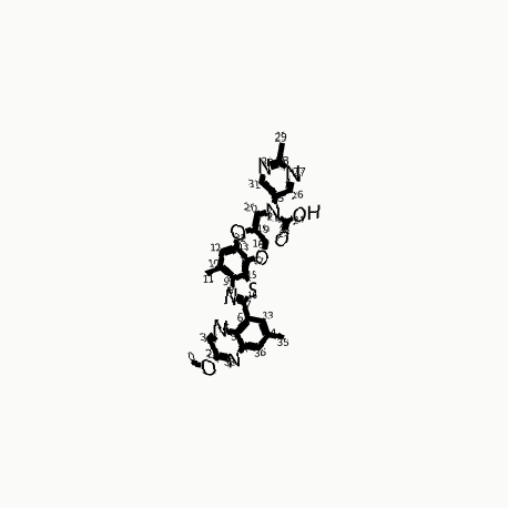 COc1cnc2c(-c3nc4c(C)cc5c(c4s3)OCC(CN(C(=O)O)c3cnc(C)nc3)O5)cc(C)cc2n1